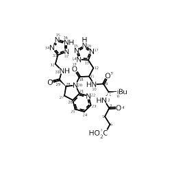 CC[C@H](C)[C@H](NC(=O)CCC(=O)O)C(=O)NC(Cc1nn[nH]n1)C(=O)N1c2ncccc2C[C@H]1C(=O)NCc1nn[nH]n1